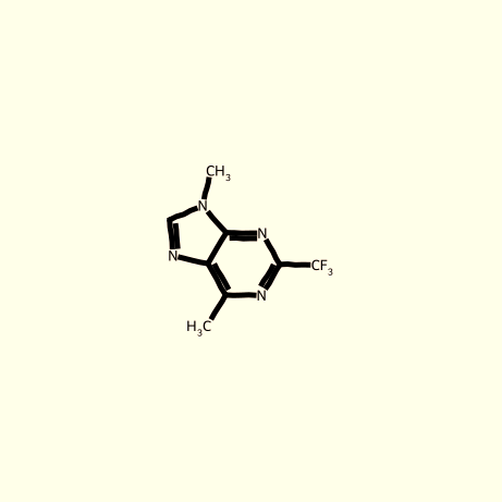 Cc1nc(C(F)(F)F)nc2c1ncn2C